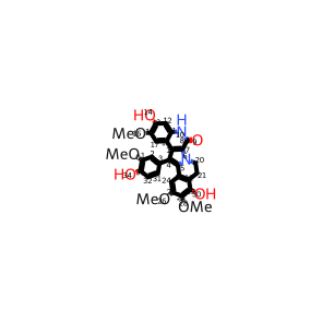 COc1cc(-c2c3n(c4c(=O)[nH]c5cc(O)c(OC)cc5c24)CCc2c-3cc(OC)c(OC)c2O)ccc1O